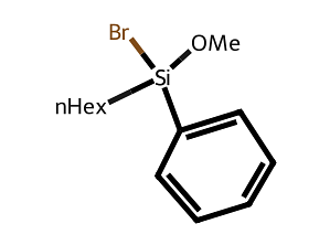 CCCCCC[Si](Br)(OC)c1ccccc1